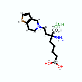 Cl.Cl.NC(CCCCB(O)O)(CCN1CCc2sccc2C1)C(=O)O